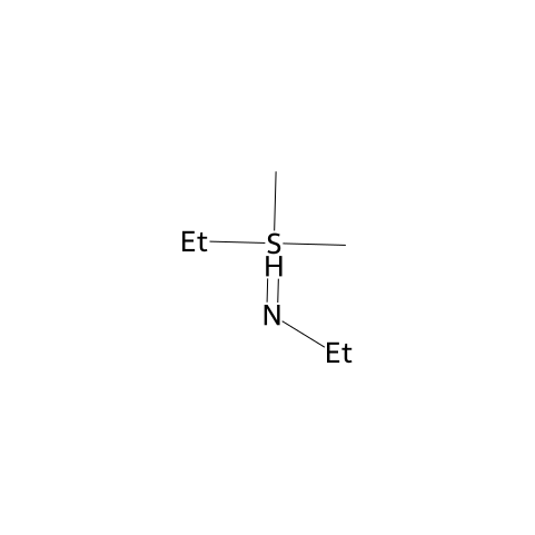 CCN=[SH](C)(C)CC